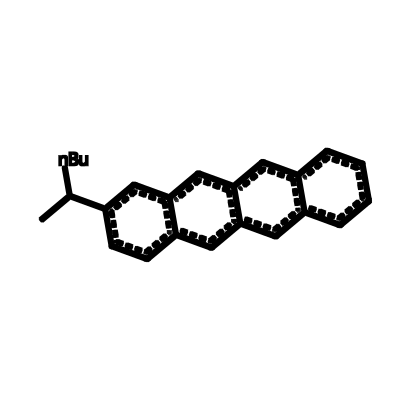 CCCCC(C)c1ccc2cc3cc4ccccc4cc3cc2c1